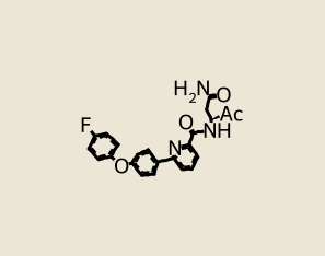 CC(=O)[C@H](CC(N)=O)NC(=O)c1cccc(-c2ccc(Oc3ccc(F)cc3)cc2)n1